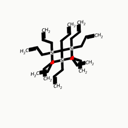 C=C[CH]C([Si](CC=C)(CC=C)CC=C)([Si](CC=C)(CC=C)CC=C)[Si](CC=C)(CC=C)CC=C